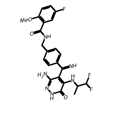 COc1ccc(F)cc1C(=O)NCc1ccc(C(=N)c2c(N)n[nH]c(=O)c2NC(C)C(F)F)cc1